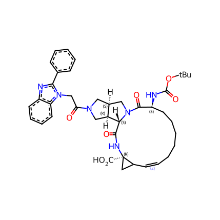 CC(C)(C)OC(=O)N[C@H]1CCCCC/C=C\C2C[C@@]2(C(=O)O)NC(=O)[C@@H]2[C@H]3CN(C(=O)Cn4c(-c5ccccc5)nc5ccccc54)C[C@H]3CN2C1=O